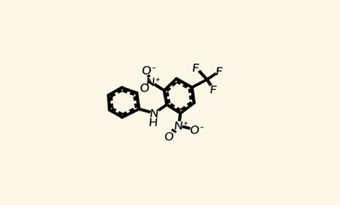 O=[N+]([O-])c1cc(C(F)(F)F)cc([N+](=O)[O-])c1Nc1ccccc1